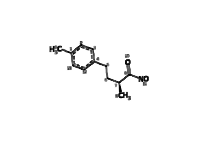 Cc1ccc(CC[C@H](C)C(=O)N=O)cc1